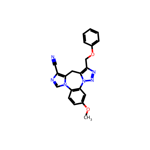 COc1ccc2c(c1)-n1nnc(COc3ccccc3)c1Cc1c(C#N)ncn1-2